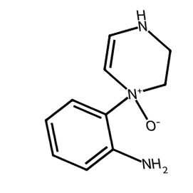 Nc1ccccc1[N+]1([O-])C=CNCC1